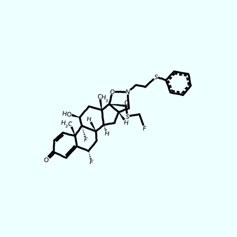 C[C@]12C=CC(=O)C=C1[C@@H](F)C[C@H]1[C@@H]3C[C@H]4CN(CCSc5ccccc5)O[C@@]4(C(=O)SCF)[C@@]3(C)C[C@H](O)[C@@]12F